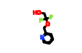 OCC(F)(F)OCc1ccccn1